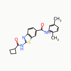 Cc1ccc(C)c(NC(=O)c2ccc3nc(NC(=O)C4CCC4)sc3c2)c1